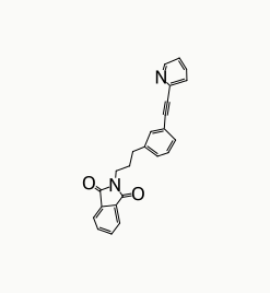 O=C1c2ccccc2C(=O)N1CCCc1cccc(C#Cc2ccccn2)c1